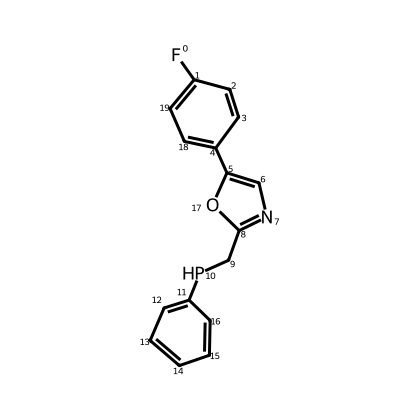 Fc1ccc(-c2cnc(CPc3ccccc3)o2)cc1